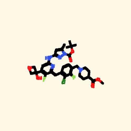 COC(=O)C1CCN(Cc2ccc(Cc3nc(Nc4cc(C)n(C(=O)OC(C)(C)C)n4)cc(C4(O)COC4)c3F)c(Cl)c2F)CC1